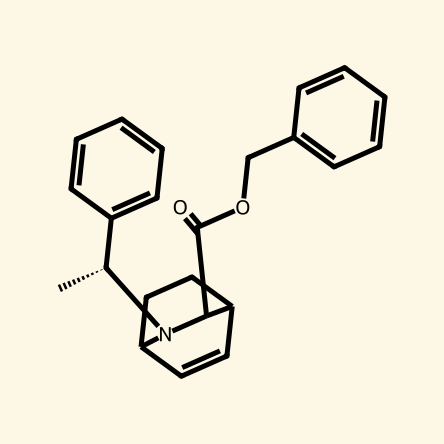 C[C@H](c1ccccc1)N1C2C=CC(CC2)C1C(=O)OCc1ccccc1